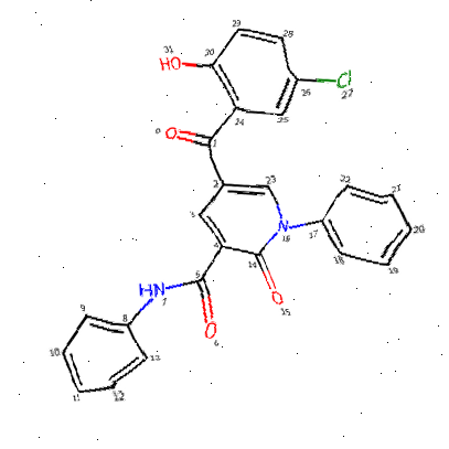 O=C(c1cc(C(=O)Nc2ccccc2)c(=O)n(-c2ccccc2)c1)c1cc(Cl)ccc1O